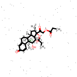 CCC(=O)OCC(=O)[C@@]1(OC(=O)CC)[C@H](C)C[C@H]2[C@@H]3CCC4=CC(=O)C=C[C@]4(C)[C@@]3(Cl)[C@@H](O)C[C@@]21C